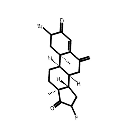 C=C1C[C@@H]2[C@@H](CC[C@]3(C)C(=O)C(F)C[C@@H]23)[C@@]2(C)CC(Br)C(=O)C=C12